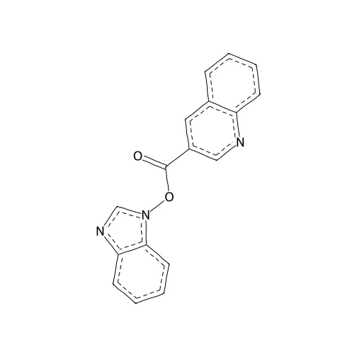 O=C(On1cnc2ccccc21)c1cnc2ccccc2c1